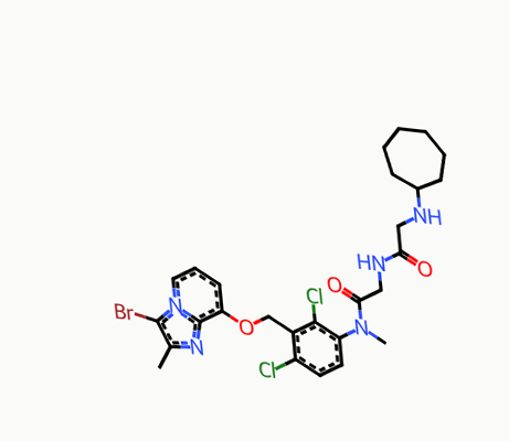 Cc1nc2c(OCc3c(Cl)ccc(N(C)C(=O)CNC(=O)CNC4CCCCCC4)c3Cl)cccn2c1Br